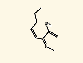 C=C(N)C(/C=C\CCC)=N\C